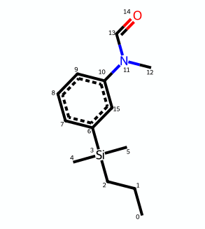 CCC[Si](C)(C)c1cccc(N(C)C=O)c1